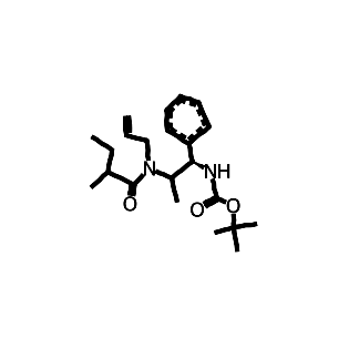 C=CCN(C(=O)C(C)CC)C(C)[C@H](NC(=O)OC(C)(C)C)c1ccccc1